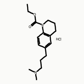 CCOC(=O)N1CCCc2cc(CCCN(C)C)ccc21.Cl